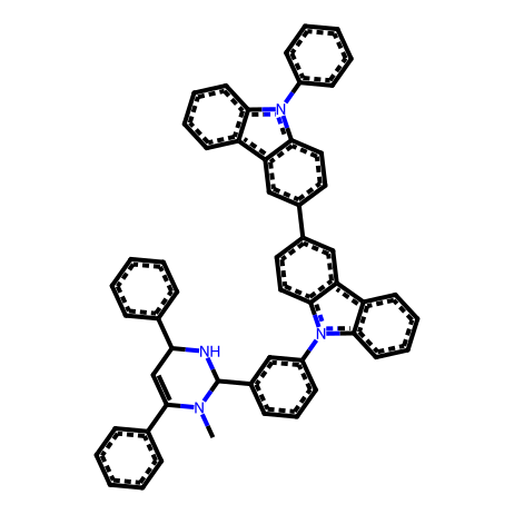 CN1C(c2ccccc2)=CC(c2ccccc2)NC1c1cccc(-n2c3ccccc3c3cc(-c4ccc5c(c4)c4ccccc4n5-c4ccccc4)ccc32)c1